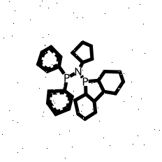 c1ccc(P(c2ccccc2)N(C2CCCC2)P2C3CCCCC3C3CCCCC32)cc1